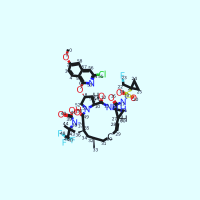 COc1ccc2c(O[C@@H]3C[C@H]4C(=O)N[C@]5(C(=O)NS(=O)(=O)C6(CF)CC6)C[C@H]5C=CCC[C@@H](C)C[C@@H](C)[C@H](N(C(=O)O)C(C)(C)C(F)(F)F)C(=O)N4C3)nc(Cl)cc2c1